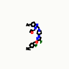 CC(=O)c1ccc2nc(CN3CCC(n4cc(F)c(OCc5ccc(C#N)cc5F)n4)CC3)n(C[C@@H]3CCO3)c2c1